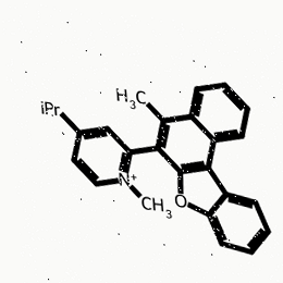 Cc1c(-c2cc(C(C)C)cc[n+]2C)c2oc3ccccc3c2c2ccccc12